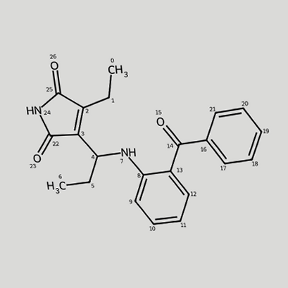 CCC1=C(C(CC)Nc2ccccc2C(=O)c2ccccc2)C(=O)NC1=O